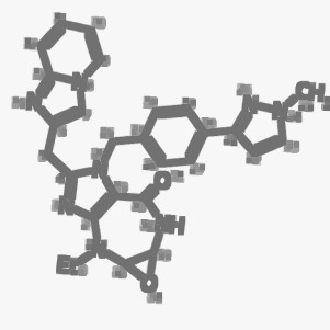 CCN1c2nc(Cc3cn4ccccc4n3)n(Cc3ccc(-c4ccn(C)n4)cc3)c2C(=O)NC2OC21